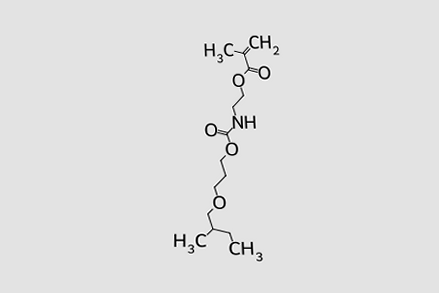 C=C(C)C(=O)OCCNC(=O)OCCCOCC(C)CC